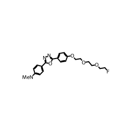 CNc1ccc(-c2nnc(-c3ccc(OCCOCCOCCF)cc3)o2)cc1